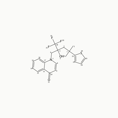 CC(C)(CC(O)(Cn1ccc(=O)c2ccccc21)C(F)(F)F)c1cccs1